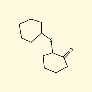 O=C1CCCCC1SC1CCCCC1